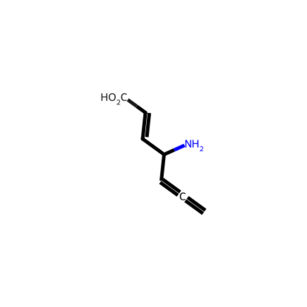 C=C=CC(N)C=CC(=O)O